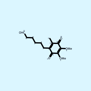 COC1=C(OC)C(=O)C(CCCCCC=O)=C(C)C1=O